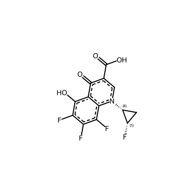 O=C(O)c1cn([C@@H]2C[C@@H]2F)c2c(F)c(F)c(F)c(O)c2c1=O